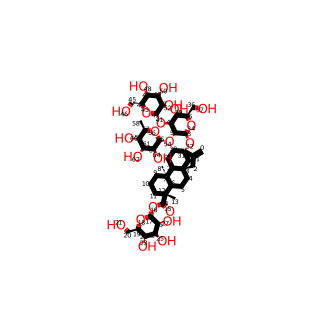 C=C1C[C@@]23CCC4[C@@](C)(CCC[C@@]4(C)C(=O)OC4O[C@H](CO)[C@@H](O)[C@H](O)[C@H]4O)C2CC[C@]1(O[C@@H]1O[C@H](CO)[C@@H](O)[C@H](O[C@@H]2O[C@H](CO)[C@@H](O)[C@H](O)[C@H]2O)[C@H]1O[C@H]1O[C@H](C)[C@@H](O)[C@H](O)[C@@H]1O)C3